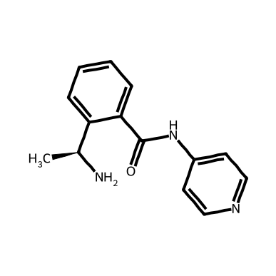 C[C@H](N)c1ccccc1C(=O)Nc1ccncc1